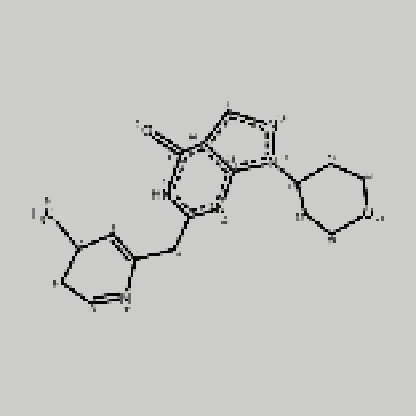 O=c1[nH]c(CC2=CC(C(F)(F)F)CC=N2)nc2c1cnn2C1CCOCC1